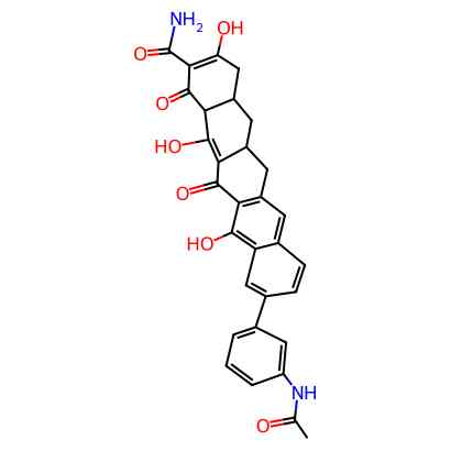 CC(=O)Nc1cccc(-c2ccc3cc4c(c(O)c3c2)C(=O)C2=C(O)C3C(=O)C(C(N)=O)=C(O)CC3CC2C4)c1